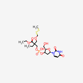 CCOC(=O)C(CC)(COCSSC)COP(=O)(O)OC1C[C@H](n2ccc(=O)[nH]c2=O)O[C@@H]1CO